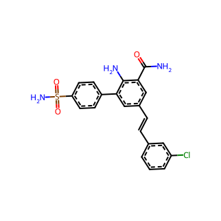 NC(=O)c1cc(/C=C/c2cccc(Cl)c2)cc(-c2ccc(S(N)(=O)=O)cc2)c1N